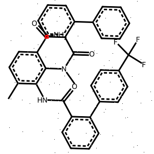 Cc1ccc(C(N)=O)c(N(C)C(=O)c2ccccc2-c2ccccc2)c1NC(=O)c1ccccc1-c1ccc(C(F)(F)F)cc1